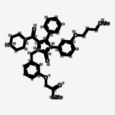 CNC(=O)COc1cccc(Cn2c(C(=O)N3CCNCC3)c(-c3ccccc3)n(-c3cccc(OCCCOC)c3)c2=O)c1